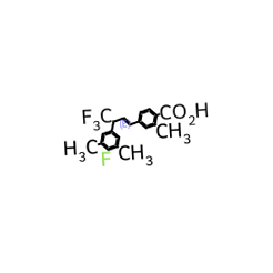 Cc1cc(/C=C/C(c2cc(C)c(F)c(C)c2)C(F)(F)F)ccc1C(=O)O